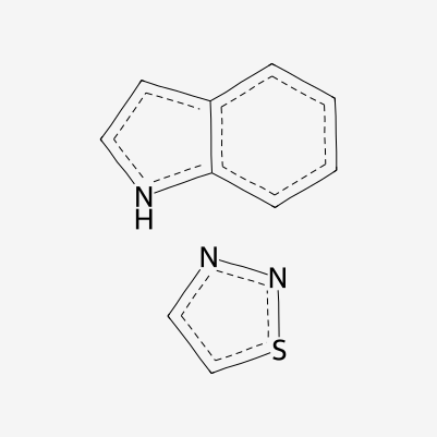 c1ccc2[nH]ccc2c1.c1csnn1